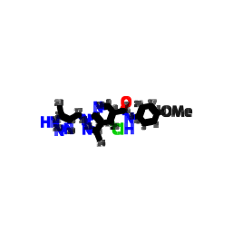 COc1ccc(NC(=O)c2cnc3c(c(C)nn3Cc3nn[nH]c3C)c2Cl)cc1